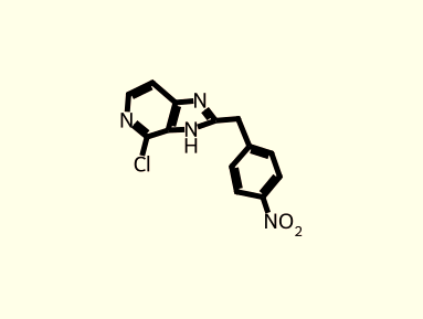 O=[N+]([O-])c1ccc(Cc2nc3ccnc(Cl)c3[nH]2)cc1